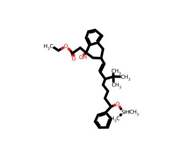 CCOC(=O)CC1(O)CC(C=CC(CCCC(O[SiH](C)C)c2ccccc2)C(C)(C)C)Cc2ccccc21